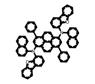 c1ccc(-c2cc(N(c3cccc4ccccc34)c3cccc4c3oc3ccccc34)c3ccc4c(-c5ccccc5)cc(N(c5cccc6ccccc56)c5cccc6c5oc5ccccc56)c5ccc2c3c45)cc1